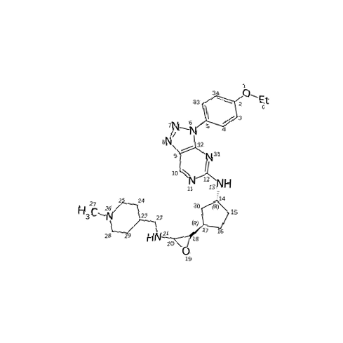 CCOc1ccc(-n2nnc3cnc(N[C@@H]4CC[C@@H](C5OC5NCC5CCN(C)CC5)C4)nc32)cc1